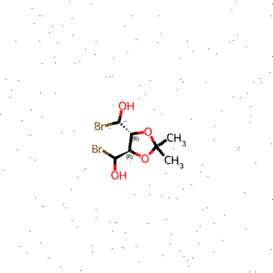 CC1(C)O[C@@H](C(O)Br)[C@H](C(O)Br)O1